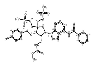 CC(C)(C)OC(=O)NC[C@H]1[C@H](n2cnc3c(NC(=O)c4ccccc4)ncnc32)OC(COS(C)(=O)=O)(COS(C)(=O)=O)[C@H]1OCc1ccc(Cl)cc1